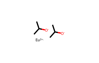 CC(C)[O-].CC(C)[O-].[Eu+2]